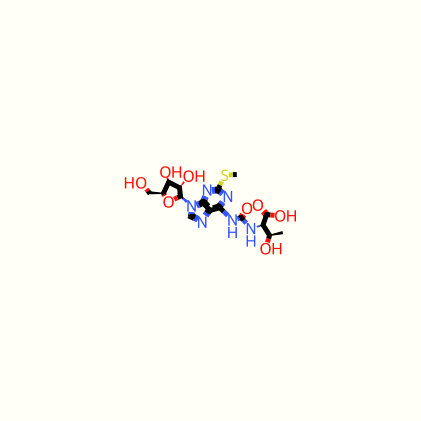 CSc1nc(NC(=O)N[C@H](C(=O)O)[C@@H](C)O)c2ncn([C@H]3O[C@@H](CO)[C@H](O)[C@@H]3O)c2n1